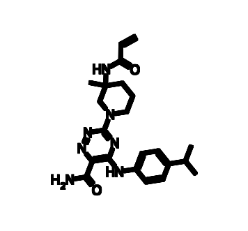 C=CC(=O)NC1(C)CCCN(c2nnc(C(N)=O)c(Nc3ccc(C(C)C)cc3)n2)C1